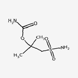 CC(C)(CS(N)(=O)=O)OC(N)=O